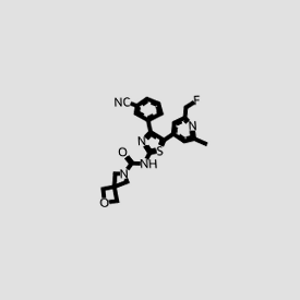 Cc1cc(-c2sc(NC(=O)N3CC4(COC4)C3)nc2-c2cccc(C#N)c2)cc(CF)n1